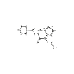 C=CCN(C(=O)CCOc1ccccc1)c1ccccc1F